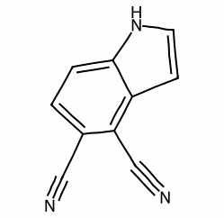 N#Cc1ccc2[nH]ccc2c1C#N